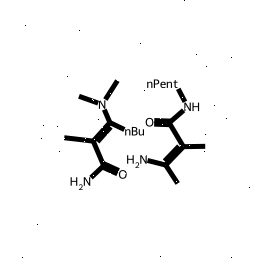 CCCC/C(=C(/C)C(N)=O)N(C)C.CCCCCNC(=O)/C(C)=C(/C)N